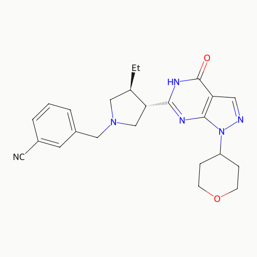 CC[C@@H]1CN(Cc2cccc(C#N)c2)C[C@H]1c1nc2c(cnn2C2CCOCC2)c(=O)[nH]1